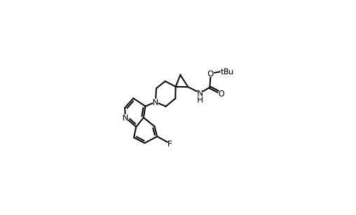 CC(C)(C)OC(=O)NC1CC12CCN(c1ccnc3ccc(F)cc13)CC2